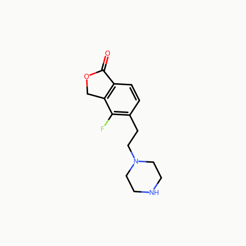 O=C1OCc2c1ccc(CCN1CCNCC1)c2F